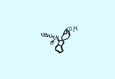 CC(C)(C)[S+]([O-])/N=C1\c2ccccc2CC12CC1CCC(C2)N1C(=O)O